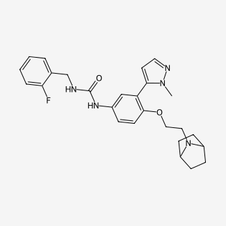 Cn1nccc1-c1cc(NC(=O)NCc2ccccc2F)ccc1OCCN1C2CCC1CC2